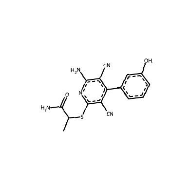 CC(Sc1nc(N)c(C#N)c(-c2cccc(O)c2)c1C#N)C(N)=O